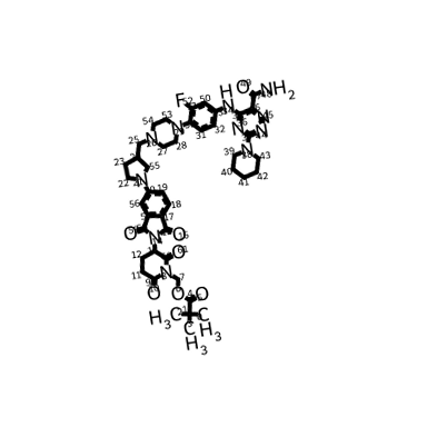 CC(C)(C)C(=O)OCN1C(=O)CCC(N2C(=O)c3ccc(N4CCC(CN5CCN(c6ccc(Nc7nc(N8CCCCC8)nnc7C(N)=O)cc6F)CC5)C4)cc3C2=O)C1=O